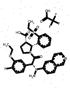 CCOc1cc([C@H](C(=O)N2CC[C@H](C(=O)O)[C@@H]2c2ccccc2S(=O)(=O)CC)N(N)c2ccc3cnccc3c2)ccc1F.O=C(O)C(F)(F)F